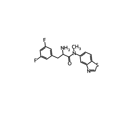 CN(C(=O)C(N)Cc1cc(F)cc(F)c1)c1ccc2scnc2c1